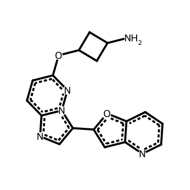 NC1CC(Oc2ccc3ncc(-c4cc5ncccc5o4)n3n2)C1